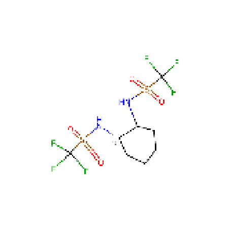 O=S(=O)(NC1CCCC[C@@H]1NS(=O)(=O)C(F)(F)F)C(F)(F)F